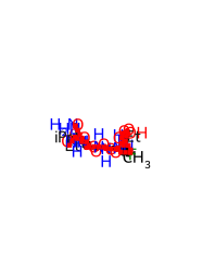 CCC(=O)N[C@H](C(=O)N[C@@H](CCCNC(N)=O)C(=O)Nc1ccc(COC(=O)NCC(=O)NCOCC(=O)N[C@H]2CCc3c(C)c(F)cc4nc5c(c2c34)Cn2c-5cc3c(c2=O)COC(=O)[C@]3(O)CC)cc1)C(C)C